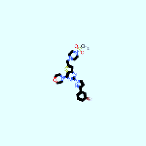 CS(=O)(=O)N1CCN(Cc2cc3nc(-n4ccc(-c5cccc(Br)c5)n4)nc(N4CCOCC4)c3s2)CC1